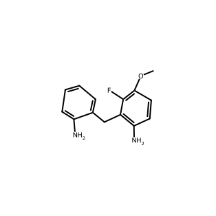 COc1ccc(N)c(Cc2ccccc2N)c1F